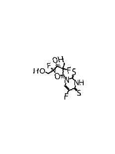 CC1(F)[C@@H](O)[C@@](F)(CO)O[C@H]1n1cc(F)c(=S)[nH]c1=S